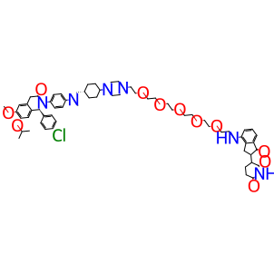 COc1cc2c(cc1OC(C)C)[C@H](c1ccc(Cl)cc1)N(c1ccc(N(C)C[C@H]3CC[C@H](N4CCN(CCOCCOCCOCCOCCOCCNc5cccc6c5CC(C5CCC(=O)NC5=O)C6=O)CC4)CC3)cc1)C(=O)C2